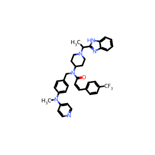 CC(c1nc2ccccc2[nH]1)N1CCC(N(Cc2ccc(N(C)c3ccncc3)cc2)C(=O)C=Cc2ccc(C(F)(F)F)cc2)CC1